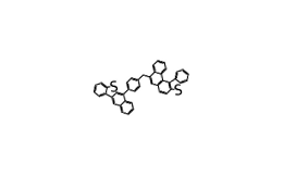 c1ccc2c(-c3ccc(Cc4cc5ccc6sc7ccccc7c6c5c5ccccc45)cc3)c3sc4ccccc4c3cc2c1